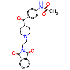 CS(=O)(=O)Nc1ccc(C(=O)C2CCN(CCN3C(=O)c4ccccc4C3=O)CC2)cc1